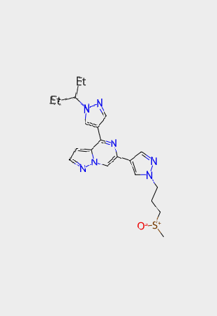 CCC(CC)n1cc(-c2nc(-c3cnn(CCC[S+](C)[O-])c3)cn3nccc23)cn1